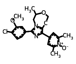 COc1cc(-c2nc(-c3cc(C)[n+]([O-])c(C)c3)c3n2CC(C)OCC3)ccc1Cl